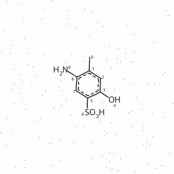 Cc1cc(O)c(S(=O)(=O)O)cc1N